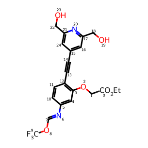 CCOC(=O)COc1cc(N=COC(F)(F)F)ccc1C#Cc1cc(CO)nc(CO)c1